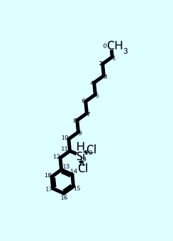 CCCCCCCCCCCC(Cc1ccccc1)[SiH](Cl)Cl